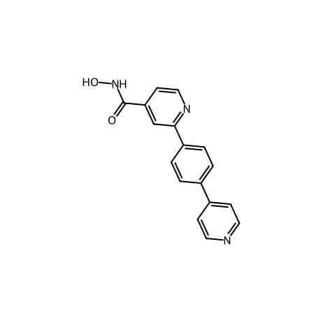 O=C(NO)c1ccnc(-c2ccc(-c3ccncc3)cc2)c1